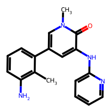 Cc1c(N)cccc1-c1cc(Nc2ccccn2)c(=O)n(C)c1